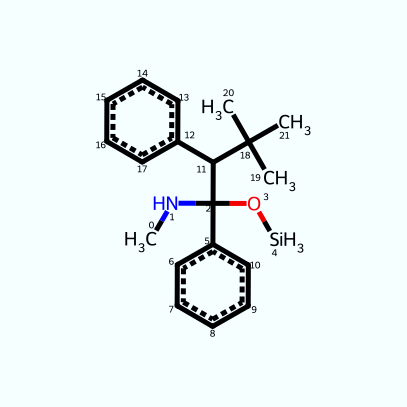 CNC(O[SiH3])(c1ccccc1)C(c1ccccc1)C(C)(C)C